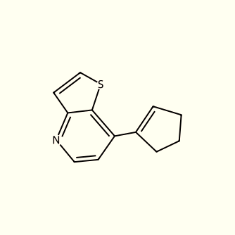 C1=C(c2ccnc3ccsc23)CCC1